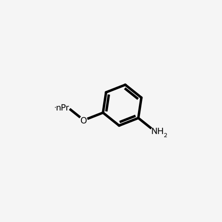 CC[CH]Oc1cccc(N)c1